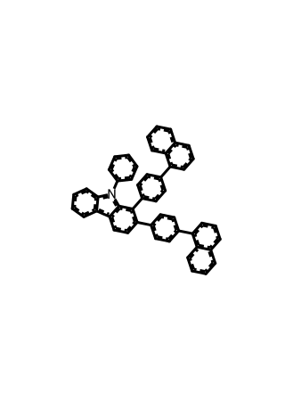 c1ccc(-n2c3ccccc3c3ccc(-c4ccc(-c5cccc6ccccc56)cc4)c(-c4ccc(-c5cccc6ccccc56)cc4)c32)cc1